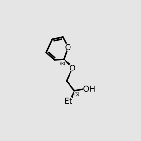 CC[C@H](O)CO[C@H]1C=CC=CO1